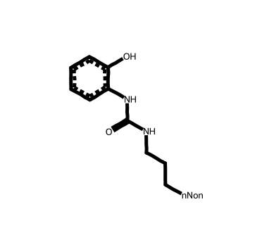 CCCCCCCCCCCCNC(=O)Nc1ccccc1O